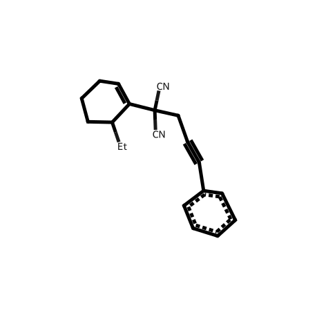 CCC1CCCC=C1C(C#N)(C#N)CC#Cc1ccccc1